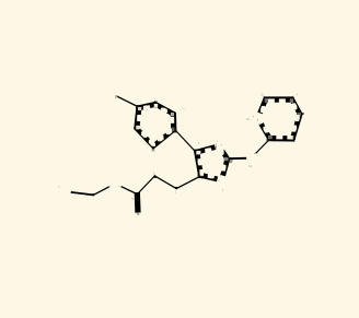 CCOC(=O)CCc1oc(Sc2ccccn2)nc1-c1ccc(Cl)cc1